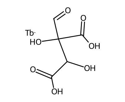 O=CC(O)(C(=O)O)C(O)C(=O)O.[Tb]